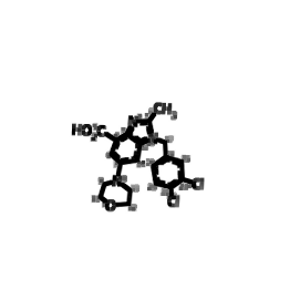 Cc1nc2c(C(=O)O)cc(N3CCOCC3)cc2n1Cc1ccc(Cl)c(Cl)c1